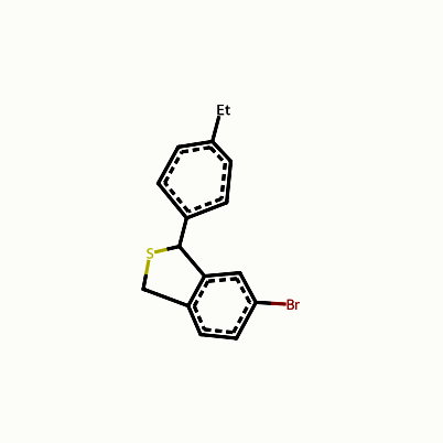 CCc1ccc(C2SCc3ccc(Br)cc32)cc1